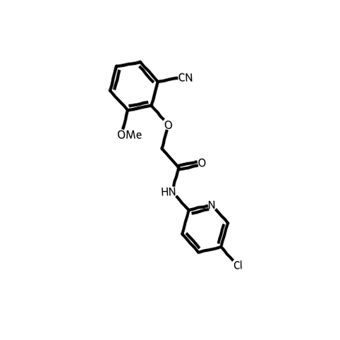 COc1cccc(C#N)c1OCC(=O)Nc1ccc(Cl)cn1